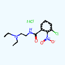 CCN(CC)CCNC(=O)c1cccc(Cl)c1[N+](=O)[O-].Cl